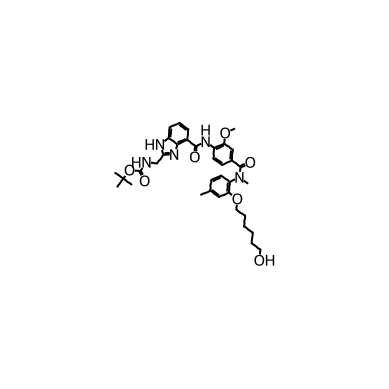 COc1cc(C(=O)N(C)c2ccc(C)cc2OCCCCCCO)ccc1NC(=O)c1cccc2[nH]c(CNC(=O)OC(C)(C)C)nc12